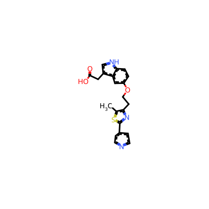 Cc1sc(-c2ccncc2)nc1CCOc1ccc2[nH]cc(CC(=O)O)c2c1